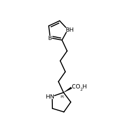 O=C(O)[C@@]1(CCCCC2=BC=CB2)CCCN1